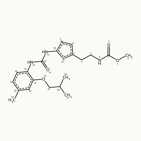 COC(=O)NCCc1cnc(NC(=O)Nc2ccc(C)cc2OCC(C)C)s1